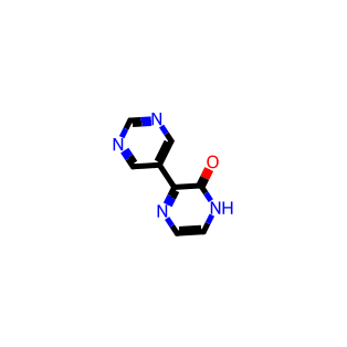 O=c1[nH]ccnc1-c1cncnc1